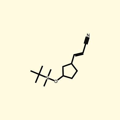 CC(C)(C)[Si](C)(C)OC1CCC(/C=C/C#N)C1